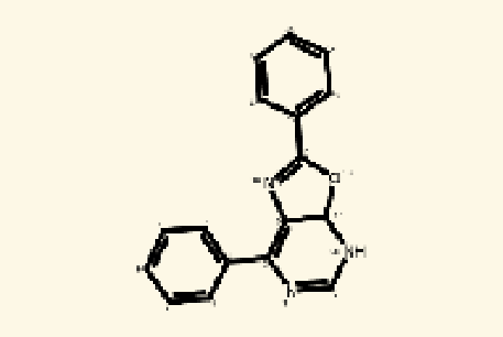 C1=NC(c2ccccc2)=C2N=C(c3ccccc3)OC2N1